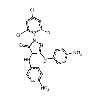 O=C1C(Nc2ccc([N+](=O)[O-])cc2)C(Nc2ccc([N+](=O)[O-])cc2)=NN1c1c(Cl)cc(Cl)cc1Cl